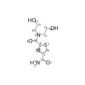 NC(=O)c1csc(C(=O)N(CCO)CCO)n1